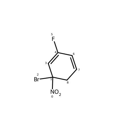 O=[N+]([O-])C1(Br)C=C(F)C=CC1